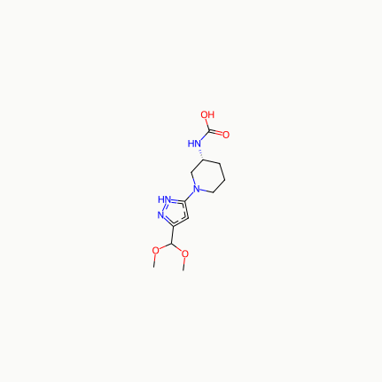 COC(OC)c1cc(N2CCC[C@@H](NC(=O)O)C2)[nH]n1